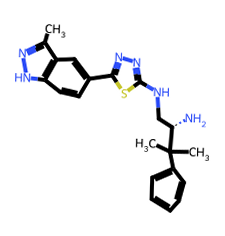 Cc1n[nH]c2ccc(-c3nnc(NC[C@H](N)C(C)(C)c4ccccc4)s3)cc12